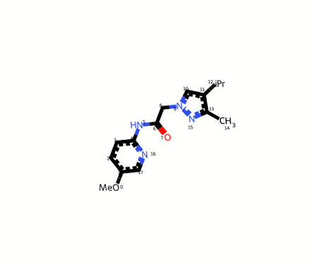 COc1ccc(NC(=O)Cn2cc(C(C)C)c(C)n2)nc1